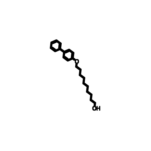 OCCCCCCCCCCOc1ccc(-c2ccccc2)cc1